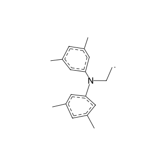 [CH2]CN(c1cc(C)cc(C)c1)c1cc(C)cc(C)c1